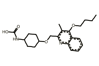 CCCCOc1c(C)c(COC2CCC(NC(=O)O)CC2)nc2ccccc12